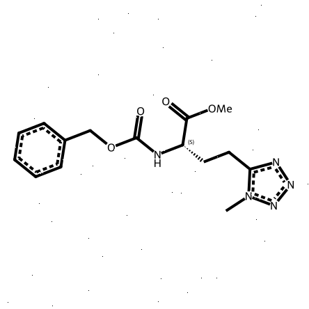 COC(=O)[C@H](CCc1nnnn1C)NC(=O)OCc1ccccc1